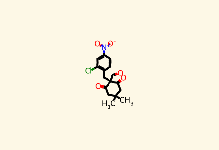 CC1(C)CC(=O)C(C=O)(Cc2ccc([N+](=O)[O-])cc2Cl)C(=O)C1